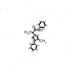 Cc1cn(C(C)C(=O)Nc2ccccc2)nc1-c1ccccc1